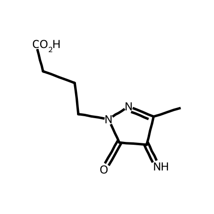 CC1=NN(CCCC(=O)O)C(=O)C1=N